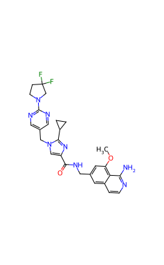 COc1cc(CNC(=O)c2cn(Cc3cnc(N4CCC(F)(F)C4)nc3)c(C3CC3)n2)cc2ccnc(N)c12